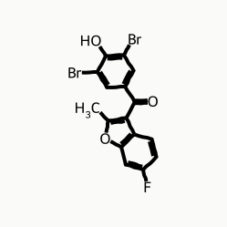 Cc1oc2cc(F)ccc2c1C(=O)c1cc(Br)c(O)c(Br)c1